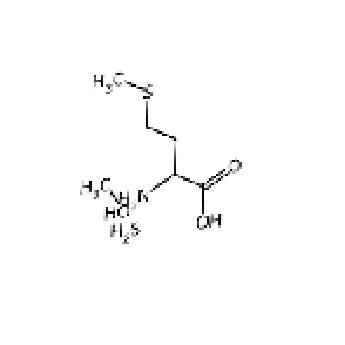 CO.CSCCC(N)C(=O)O.S